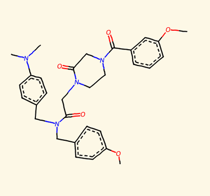 COc1ccc(CN(Cc2ccc(N(C)C)cc2)C(=O)CN2CCN(C(=O)c3cccc(OC)c3)CC2=O)cc1